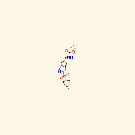 Cc1ccc(S(=O)(=O)c2cc3cc(CNC(=O)OC(C)(C)C)cn3cn2)cc1